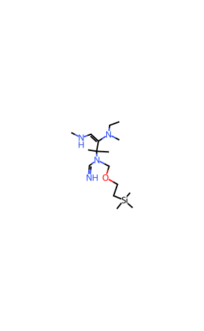 CCN(C)/C(=C/NC)C(C)(C)N(C=N)COCC[Si](C)(C)C